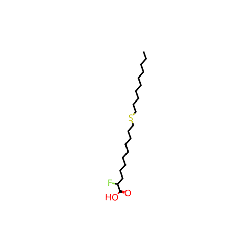 CCCCCCCCCCSCCCCCCCCCC(F)C(=O)O